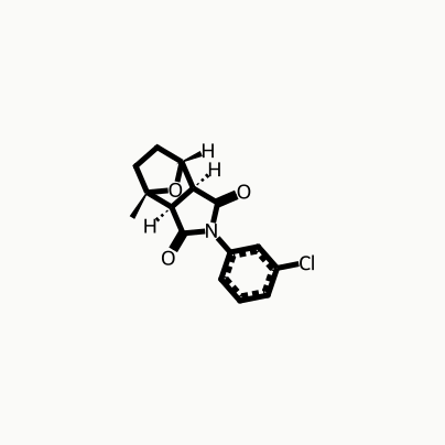 C[C@@]12CC[C@@H](O1)[C@H]1C(=O)N(c3cccc(Cl)c3)C(=O)[C@H]12